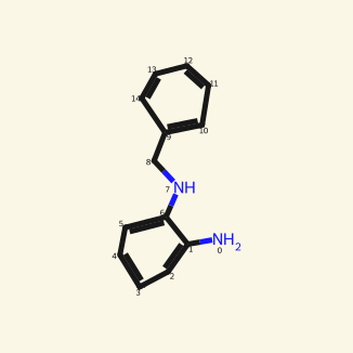 Nc1c[c]ccc1NCc1ccccc1